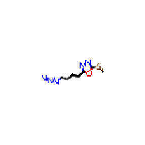 CSc1nnc(CCCCN=[N+]=[N-])o1